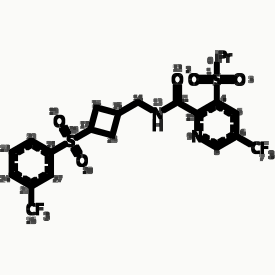 CC(C)S(=O)(=O)c1cc(C(F)(F)F)cnc1C(=O)NCC1CC(S(=O)(=O)c2cccc(C(F)(F)F)c2)C1